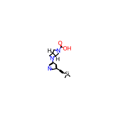 C[Si](C)(C)C#Cc1cncc(N2C[C@@H]3CN(C(=O)O)C[C@@H]32)c1